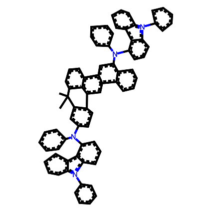 CC1(C)c2cc(N(c3ccccc3)c3cccc4c3c3ccccc3n4-c3ccccc3)ccc2-c2cc3c4ccccc4c(N(c4ccccc4)c4cccc5c4c4ccccc4n5-c4ccccc4)cc3c3cccc1c23